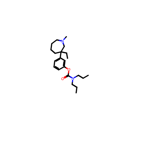 CCCN(CCC)C(=O)Oc1cccc(C2(CC)CCCCN(C)C2)c1